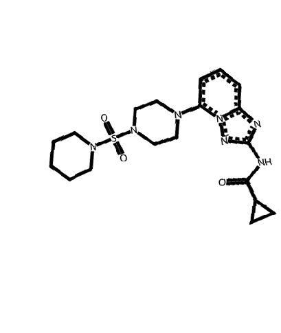 O=C(Nc1nc2cccc(N3CCN(S(=O)(=O)N4CCCCC4)CC3)n2n1)C1CC1